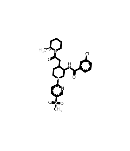 C[C@H]1CCCCN1C(=O)CC1CCN(c2ccc(S(C)(=O)=O)cn2)CC1NC(=O)c1cccc(Cl)c1